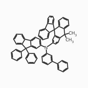 CC1(C)c2ccccc2C2(c3ccccc3-c3ccccc32)c2cc(N(c3cccc(-c4ccccc4)c3)c3ccc4c(c3)C(c3ccccc3)(c3ccccc3)c3ccccc3-4)ccc21